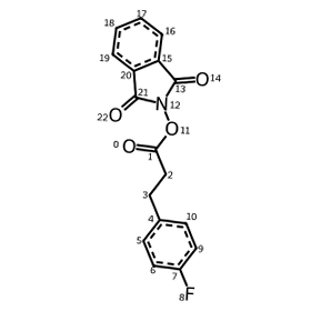 O=C(CCc1ccc(F)cc1)ON1C(=O)c2ccccc2C1=O